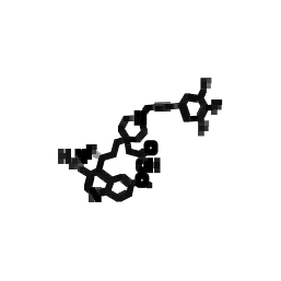 COc1ccc2ncc(CN)c([C@H](F)CCC3(CC(=O)O)CCN(CC#Cc4cc(F)c(F)c(F)c4)CC3)c2c1